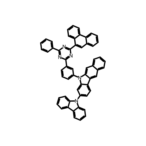 c1ccc(-c2nc(-c3cccc(-n4c5cc(-n6c7ccccc7c7ccccc76)ccc5c5cc6ccccc6cc54)c3)nc(-c3cc4ccccc4c4ccccc34)n2)cc1